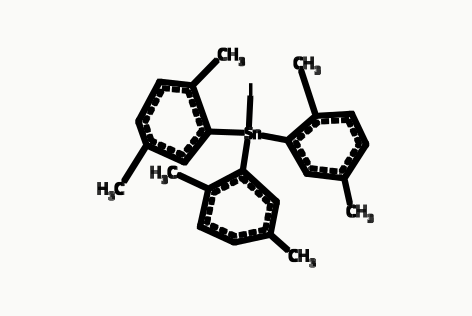 Cc1ccc(C)[c]([Sn]([I])([c]2cc(C)ccc2C)[c]2cc(C)ccc2C)c1